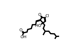 CC(C)CCCC(C)CCC1(O)C=C(Cl)C(=O)/C1=C/CCCCCC(=O)O